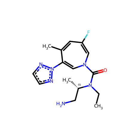 CCN(C(=O)N1C=C(F)C=C(C)C(n2nccn2)=C1)[C@@H](C)CN